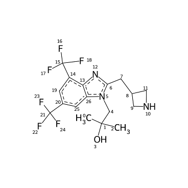 CC(C)(O)Cn1c(CC2CNC2)nc2c(C(F)(F)F)cc(C(F)(F)F)cc21